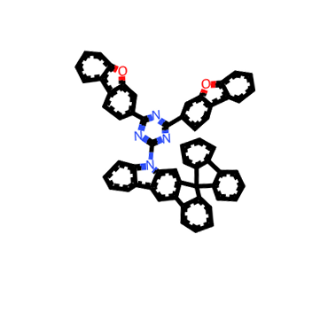 c1ccc2c(c1)-c1ccccc1C21c2ccccc2-c2cc3c4ccccc4n(-c4nc(-c5ccc6c(c5)oc5ccccc56)nc(-c5ccc6c(c5)oc5ccccc56)n4)c3cc21